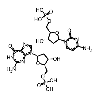 Nc1ccn([C@H]2C[C@H](O)[C@@H](COP(=O)(O)O)O2)c(=O)n1.Nc1nc2c(ncn2[C@H]2C[C@H](O)[C@@H](COP(=O)(O)O)O2)c(=O)[nH]1